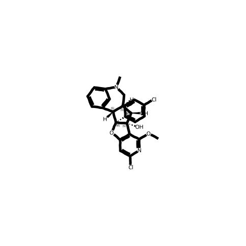 COc1nc(Cl)cc2c1[C@]1(O)[C@H](O)[C@@H]3CN(C)c4cccc(c4)[C@H]3[C@]1(c1ccc(Cl)cc1)O2